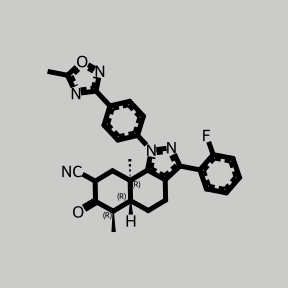 Cc1nc(-c2ccc(-n3nc(-c4ccccc4F)c4c3[C@]3(C)CC(C#N)C(=O)[C@H](C)[C@H]3CC4)cc2)no1